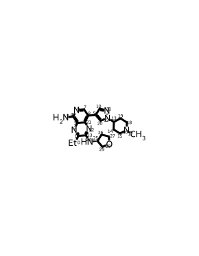 CCc1nc2c(N)ncc(-c3cnn(C4CCN(C)CC4)c3)c2nc1N[C@H]1CCOC1